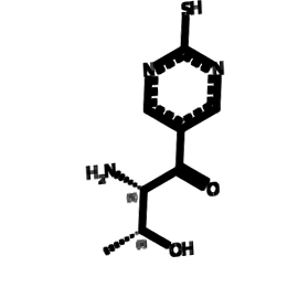 C[C@@H](O)[C@H](N)C(=O)c1cnc(S)nc1